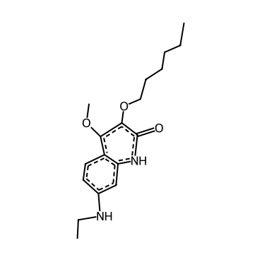 CCCCCCOc1c(OC)c2ccc(NCC)cc2[nH]c1=O